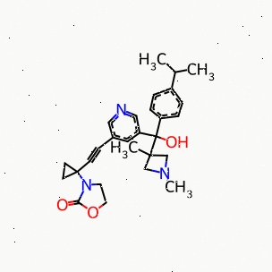 CC(C)c1ccc(C(O)(c2cncc(C#CC3(N4CCOC4=O)CC3)c2)C2(C)CN(C)C2)cc1